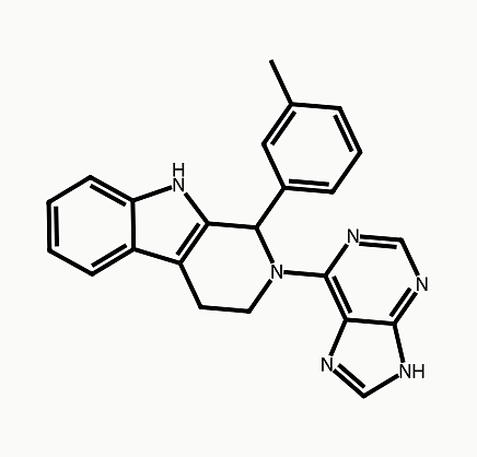 Cc1cccc(C2c3[nH]c4ccccc4c3CCN2c2ncnc3[nH]cnc23)c1